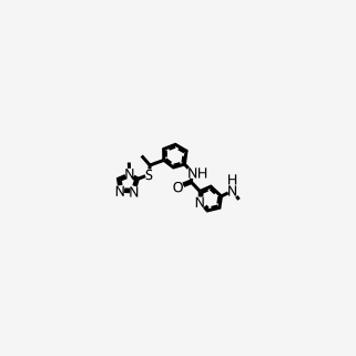 CNc1ccnc(C(=O)Nc2cccc(C(C)Sc3nncn3C)c2)c1